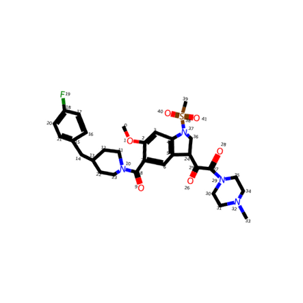 COc1cc2c(cc1C(=O)N1CCC(Cc3ccc(F)cc3)CC1)C(C(=O)C(=O)N1CCN(C)CC1)CN2S(C)(=O)=O